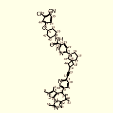 Cc1sc2c(c1C)C(c1ccc(C#CC3CC4(CCCN(c5ccc(C(=O)N[C@H]6CC[C@H](Oc7ccc(C#N)c(Cl)c7)CC6)nn5)C4)C3)nc1)=N[C@@H](C)c1nnc(C)n1-2